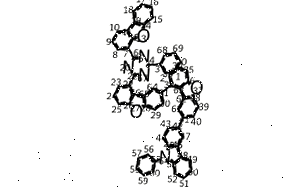 c1ccc(-c2nc(-c3cccc4c3oc3ccccc34)nc(-c3cccc4oc5ccc(-c6cccc7oc8ccc(-c9ccc%10c(c9)c9ccccc9n%10-c9ccccc9)cc8c67)cc5c34)n2)cc1